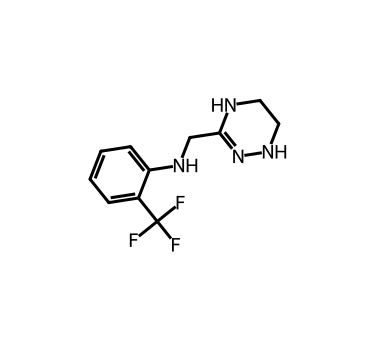 FC(F)(F)c1ccccc1NCC1=NNCCN1